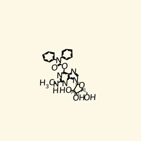 CNc1nc(OC(=O)N(c2ccccc2)c2ccccc2)c2ncn([C@@H]3O[C@H](CO)[C@@H](O)[C@H]3O)c2n1